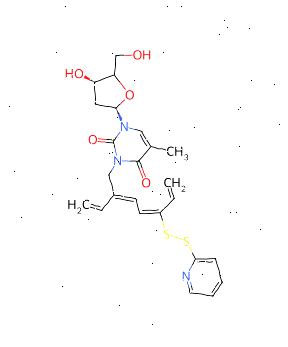 C=C/C(=C\C=C(/C=C)SSc1ccccn1)Cn1c(=O)c(C)cn([C@H]2C[C@@H](O)C(CO)O2)c1=O